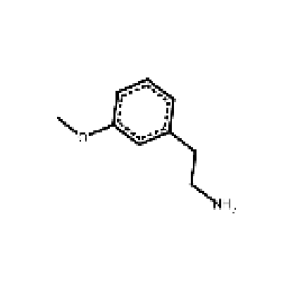 COc1cc[c]c(CCN)c1